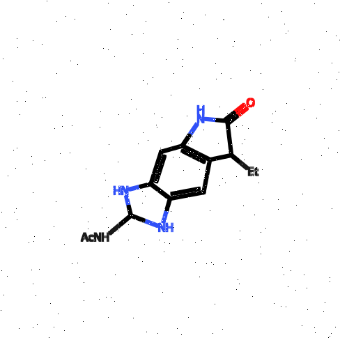 CCC1C(=O)Nc2cc3c(cc21)NC(NC(C)=O)N3